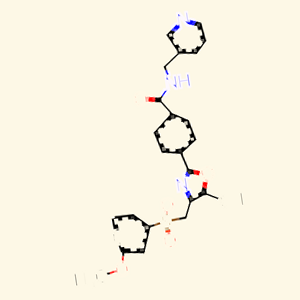 COc1cccc(S(=O)(=O)Cc2nc(-c3ccc(C(=O)NCc4cccnc4)cc3)oc2C)c1